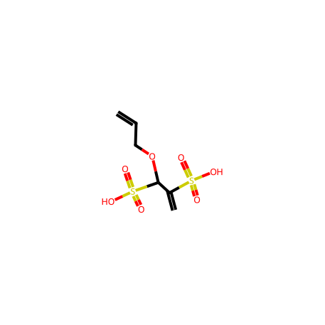 C=CCOC(C(=C)S(=O)(=O)O)S(=O)(=O)O